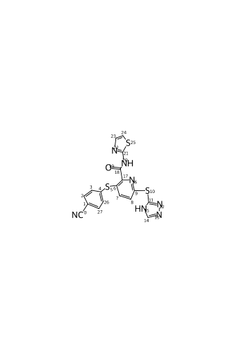 N#Cc1ccc(Sc2ccc(Sc3nnc[nH]3)nc2C(=O)Nc2nccs2)cc1